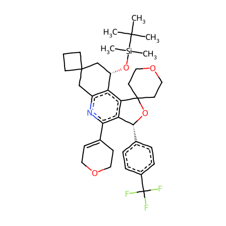 CC(C)(C)[Si](C)(C)O[C@H]1CC2(CCC2)Cc2nc(C3=CCOCC3)c3c(c21)C1(CCOCC1)O[C@@H]3c1ccc(C(F)(F)F)cc1